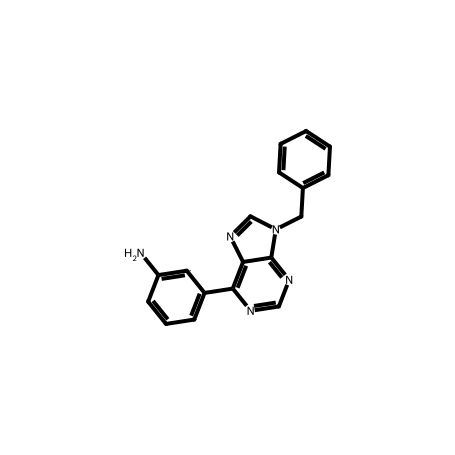 Nc1[c]c(-c2ncnc3c2ncn3Cc2ccccc2)ccc1